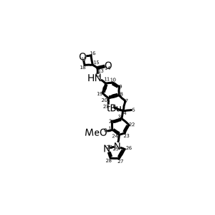 COc1cc(C(C)(C)Cc2ccc(NC(=O)C3COC3)cc2C(C)(C)C)ccc1-n1cccn1